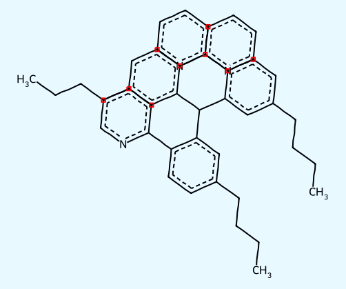 CCCCc1ccc(-c2ccccn2)c(C(c2cc(CCCC)ccc2-c2ccccn2)c2cc(CCCC)ccc2-c2ccccn2)c1